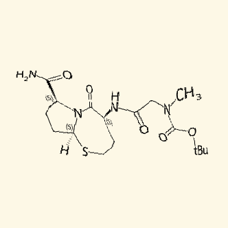 CN(CC(=O)N[C@H]1CCS[C@H]2CC[C@@H](C(N)=O)N2C1=O)C(=O)OC(C)(C)C